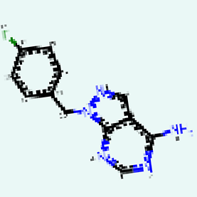 Nc1ncnc2c1cnn2Cc1ccc(F)cc1